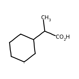 CC(C(=O)O)C1C[CH]CCC1